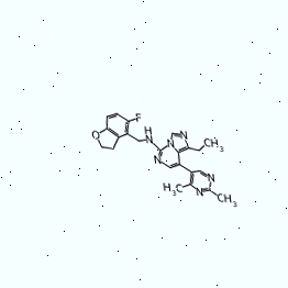 CCc1ncn2c(NCc3c(F)ccc4c3CCO4)ncc(-c3cnc(C)nc3C)c12